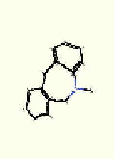 CN1CC2=C(C=CCC2)Cc2ccccc21